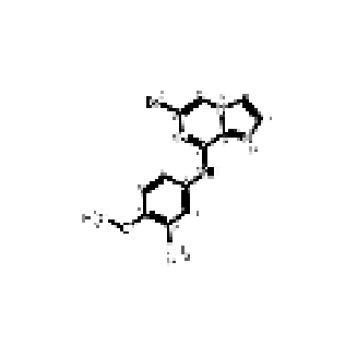 COc1ccc(Nc2nc(Br)cn3ccnc23)cc1C